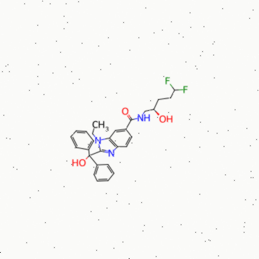 CCn1c(C(O)(c2ccccc2)c2ccccc2)nc2ccc(C(=O)NC[C@H](O)CCC(F)F)cc21